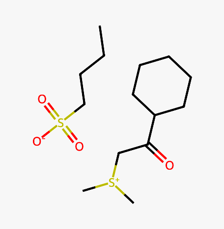 CCCCS(=O)(=O)[O-].C[S+](C)CC(=O)C1CCCCC1